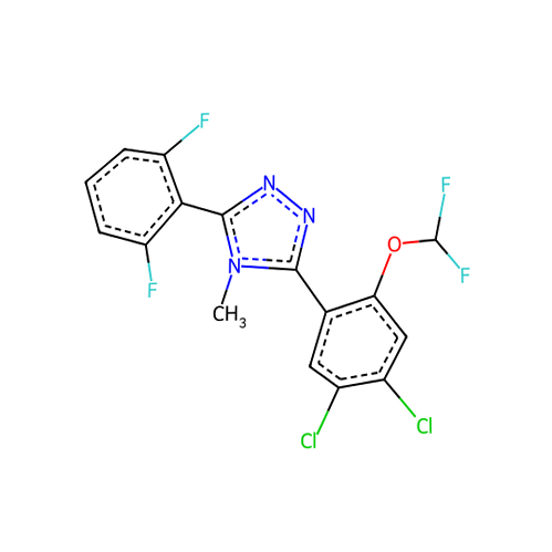 Cn1c(-c2cc(Cl)c(Cl)cc2OC(F)F)nnc1-c1c(F)cccc1F